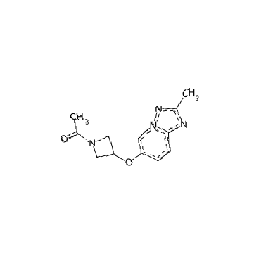 CC(=O)N1CC(Oc2ccc3nc(C)nn3c2)C1